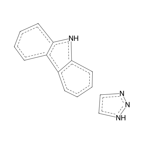 c1c[nH]nn1.c1ccc2c(c1)[nH]c1ccccc12